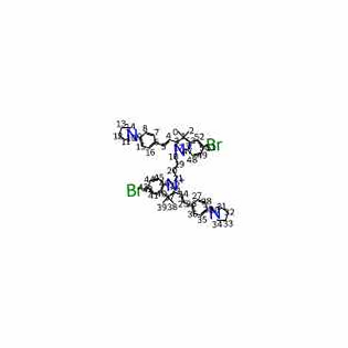 CC1(C)C(/C=C/c2ccc(N3CCCC3)cc2)=[N+](CCCC[N+]2=C(/C=C/c3ccc(N4CCCC4)cc3)C(C)(C)c3cc(Br)ccc32)c2ccc(Br)cc21